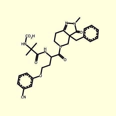 CN1N=C2CCN(C(=O)C(CCOc3cccc(C#N)c3)NC(=O)C(C)(C)NC(=O)O)CC2(Cc2ccccc2)C1=O